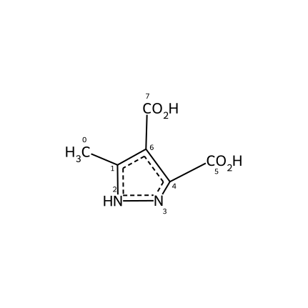 Cc1[nH]nc(C(=O)O)c1C(=O)O